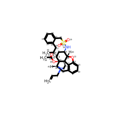 C=CCN1CC[C@]23c4c5cccc4O[C@H]2[C@H](NS(=O)(=O)Cc2ccccc2CC(C)C)CC[C@@]3(OC(C)=O)[C@H]1C5